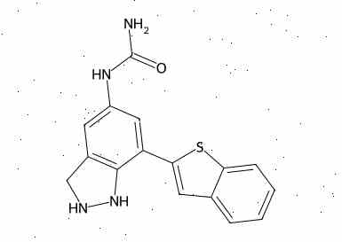 NC(=O)Nc1cc2c(c(-c3cc4ccccc4s3)c1)NNC2